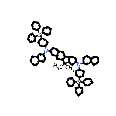 CC1(C)c2cc(N(c3ccc([Si](c4ccccc4)(c4ccccc4)c4ccccc4)cc3)c3ccc4ccccc4c3)ccc2-c2cc3ccc(N(c4ccc([Si](c5ccccc5)(c5ccccc5)c5ccccc5)cc4)c4ccc5ccccc5c4)cc3cc21